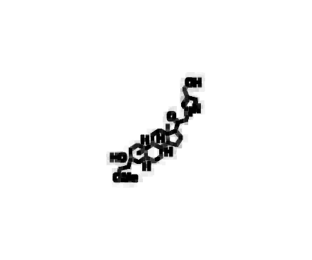 COCC[C@@]1(O)CC[C@@]2(C)[C@@H](CC[C@@H]3[C@@H]2CC[C@]2(C)[C@@H](C(=O)Cn4cc(CO)cn4)CC[C@@H]32)C1